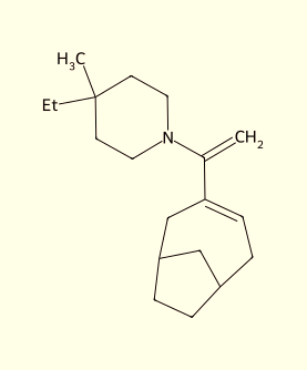 C=C(C1=CCC2CCC(C1)C2)N1CCC(C)(CC)CC1